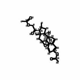 CC(=O)OCC(=O)[C@H]1C(C)C[C@H]2[C@@H]3CC=C4C=C(OC(C)=O)C=C[C@]4(C)[C@]34OC4C[C@]12C